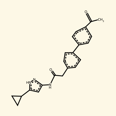 CC(=O)c1ccc(-c2ccc(CC(=O)Nc3cc(C4CC4)[nH]n3)cc2)cc1